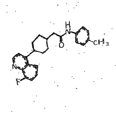 Cc1ccc(NC(=O)CC2CCC(c3ccnc4c(F)cccc34)CC2)cc1